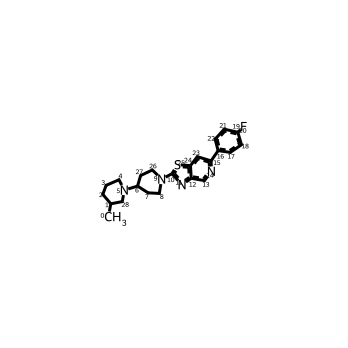 CC1CCCN(C2CCN(c3nc4cnc(-c5ccc(F)cc5)cc4s3)CC2)C1